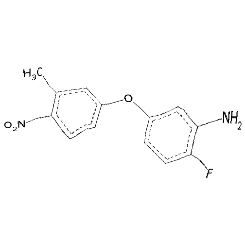 Cc1cc(Oc2ccc(F)c(N)c2)ccc1[N+](=O)[O-]